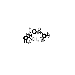 CN(C)c1nc(N[C@H]2CC[C@@H](C(=O)NCc3cc(C(F)(F)F)cc(C(F)(F)F)c3)CC2)nc2ccccc12